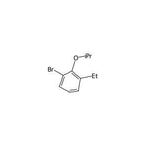 CCc1cccc(Br)c1OC(C)C